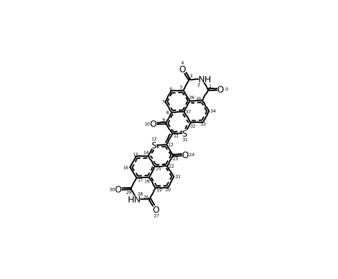 O=C1NC(=O)c2ccc3c(=O)c(=c4sc5ccc6c7c(ccc(c4=O)c57)C(=O)NC6=O)sc4ccc1c2c43